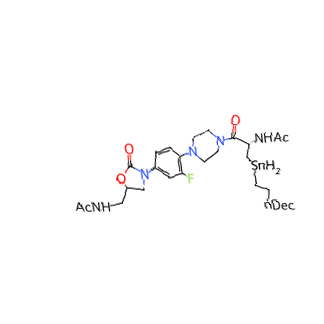 CCCCCCCCCCC[CH2][SnH2][CH2][C@@H](NC(C)=O)C(=O)N1CCN(c2ccc(N3CC(CNC(C)=O)OC3=O)cc2F)CC1